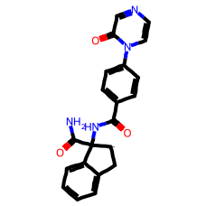 NC(=O)C1(NC(=O)c2ccc(-n3ccncc3=O)cc2)[CH]Cc2ccccc21